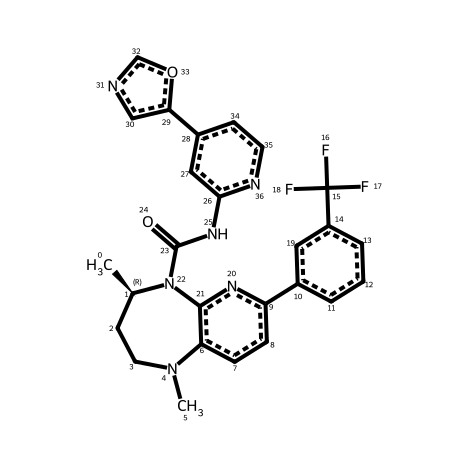 C[C@@H]1CCN(C)c2ccc(-c3cccc(C(F)(F)F)c3)nc2N1C(=O)Nc1cc(-c2cnco2)ccn1